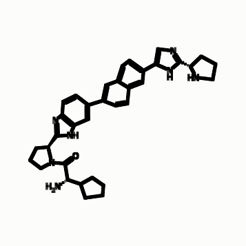 N[C@H](C(=O)N1CCC[C@H]1c1nc2ccc(-c3ccc4cc(-c5cnc([C@@H]6CCCN6)[nH]5)ccc4c3)cc2[nH]1)C1CCCC1